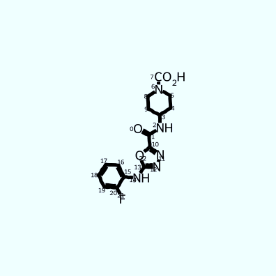 O=C(NC1CCN(C(=O)O)CC1)c1nnc(Nc2ccccc2F)o1